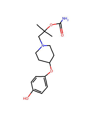 CC(C)(CN1CCC(Oc2ccc(O)cc2)CC1)OC(N)=O